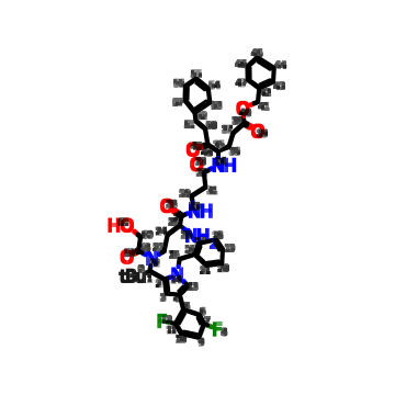 CC(C)(C)[C@H](c1cc(-c2cc(F)ccc2F)cn1Cc1ccccc1)N(CC[C@H](N)C(=O)NCCC(=O)N[C@H](CCC(=O)OCc1ccccc1)C(=O)CCc1ccccc1)C(=O)CO